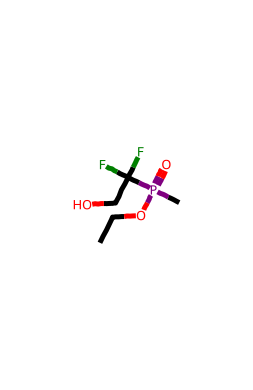 CCOP(C)(=O)C(F)(F)CO